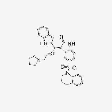 O=C1Nc2ccc(S(=O)(=O)N3CCCc4ccccc43)cc2/C1=C(\OCCN1CCCC1)c1cc2ccccc2[nH]1